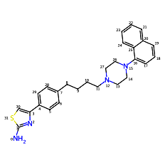 Nc1nc(-c2ccc(CCCCN3CCN(c4cccc5ccccc45)CC3)cc2)cs1